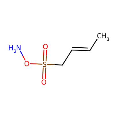 CC=CCS(=O)(=O)ON